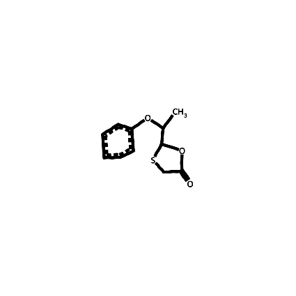 CC(Oc1ccccc1)C1OC(=O)CS1